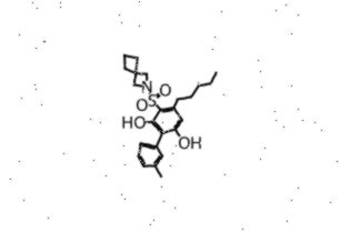 CCCCCc1cc(O)c(-c2cccc(C)c2)c(O)c1S(=O)(=O)N1CC2(CCC2)C1